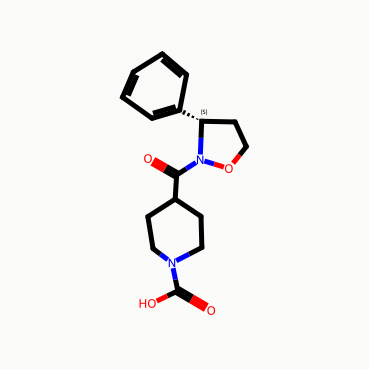 O=C(O)N1CCC(C(=O)N2OCC[C@H]2c2ccccc2)CC1